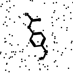 CCCOc1ccc(OC(=O)CC)cc1